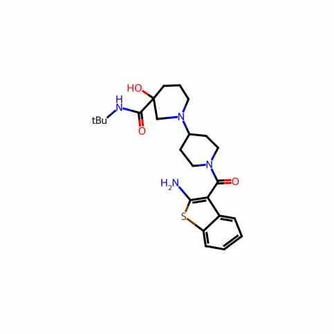 CC(C)(C)NC(=O)C1(O)CCCN(C2CCN(C(=O)c3c(N)sc4ccccc34)CC2)C1